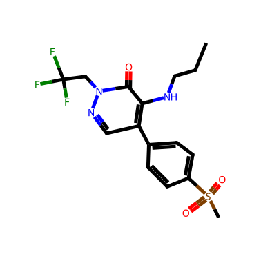 CCCNc1c(-c2ccc(S(C)(=O)=O)cc2)cnn(CC(F)(F)F)c1=O